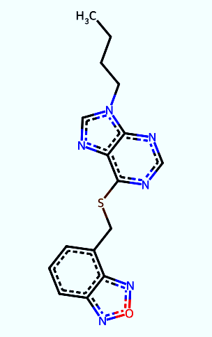 CCCCn1cnc2c(SCc3cccc4nonc34)ncnc21